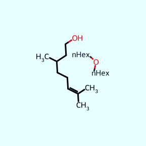 CC(C)=CCCC(C)CCO.CCCCCCOCCCCCC